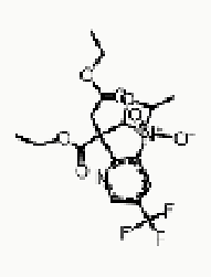 CCOC(=O)CC(C(=O)OCC)(c1ncc(C(F)(F)F)cc1[N+](=O)[O-])C1OC(C)O1